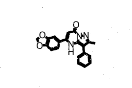 Cc1nn2c(=O)cc(-c3ccc4c(c3)OCO4)[nH]c2c1-c1ccccc1